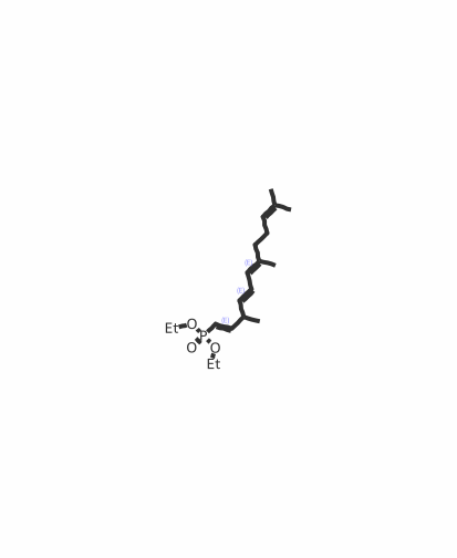 CCOP(=O)(/C=C/C(C)/C=C/C=C(\C)CCC=C(C)C)OCC